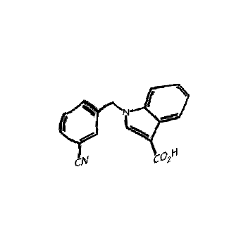 N#Cc1cccc(Cn2cc(C(=O)O)c3ccccc32)c1